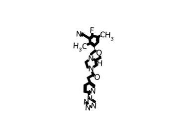 Cc1cc([C@H]2CN3CCN(C(=O)Cc4ccc(-n5cnnn5)nc4)C[C@@H]3CO2)c(C)c(C#N)c1F